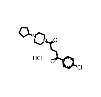 Cl.O=C(CCC(=O)N1CCN(C2CCCC2)CC1)c1ccc(Cl)cc1